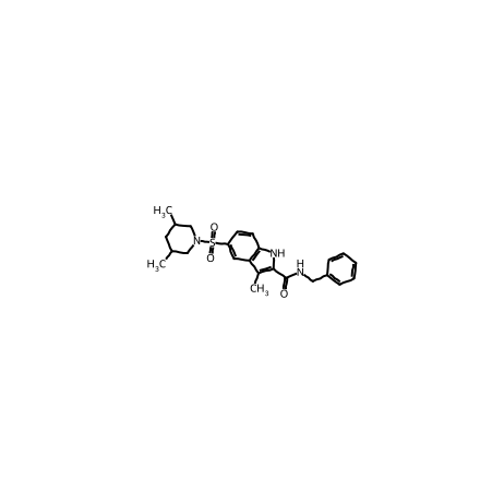 Cc1c(C(=O)NCc2ccccc2)[nH]c2ccc(S(=O)(=O)N3CC(C)CC(C)C3)cc12